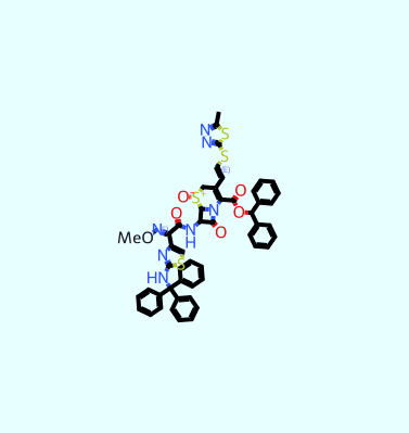 CO/N=C(/C(=O)NC1C(=O)N2C(C(=O)OC(c3ccccc3)c3ccccc3)=C(/C=C/Sc3nnc(C)s3)C[S+]([O-])C12)c1csc(NC(c2ccccc2)(c2ccccc2)c2ccccc2)n1